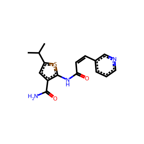 CC(C)c1cc(C(N)=O)c(NC(=O)/C=C\c2cccnc2)s1